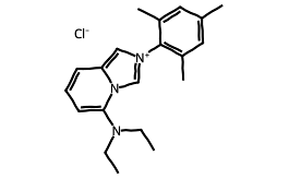 CCN(CC)c1cccc2c[n+](-c3c(C)cc(C)cc3C)cn12.[Cl-]